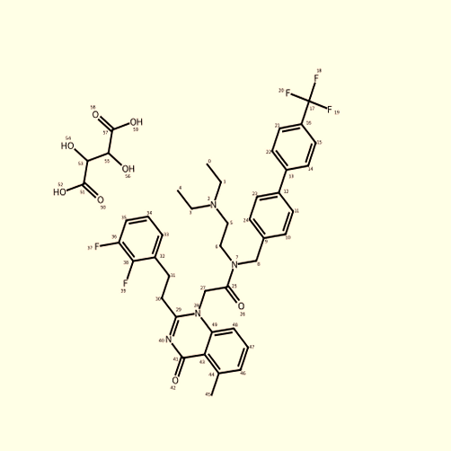 CCN(CC)CCN(Cc1ccc(-c2ccc(C(F)(F)F)cc2)cc1)C(=O)Cn1c(CCc2cccc(F)c2F)nc(=O)c2c(C)cccc21.O=C(O)C(O)C(O)C(=O)O